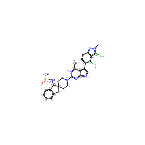 Cn1nc2ccc(-c3c[nH]c4nc(N5CCC6(CC5)Cc5ccccc5[C@H]6N[S@+]([O-])C(C)(C)C)nc(C#N)c34)c(Cl)c2c1Cl